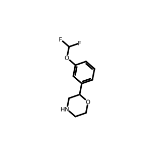 FC(F)Oc1cccc(C2CNCCO2)c1